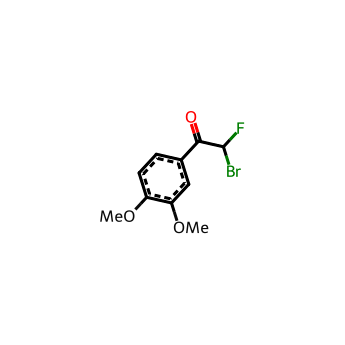 COc1ccc(C(=O)C(F)Br)cc1OC